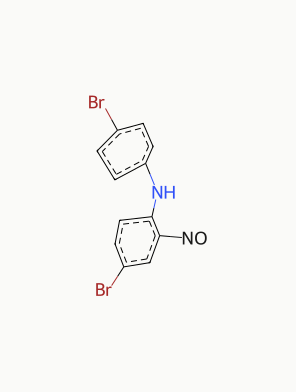 O=Nc1cc(Br)ccc1Nc1ccc(Br)cc1